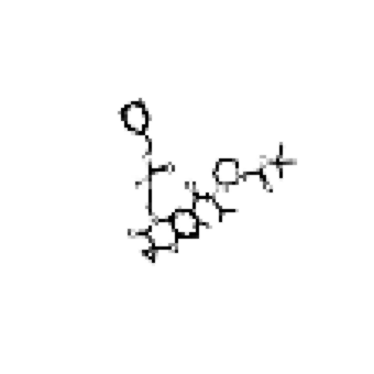 Cc1cc2c(cc1C(=O)N(C(C)C)[C@@H]1CCCN(C(=O)OC(C)(C)C)C1)N(CCNC(=O)OCc1ccccc1)C(=O)C1(CC1)O2